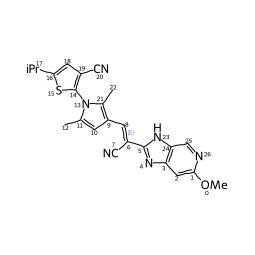 COc1cc2nc(/C(C#N)=C/c3cc(C)n(-c4sc(C(C)C)cc4C#N)c3C)[nH]c2cn1